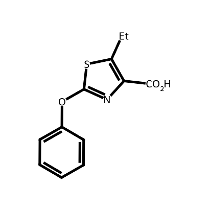 CCc1sc(Oc2ccccc2)nc1C(=O)O